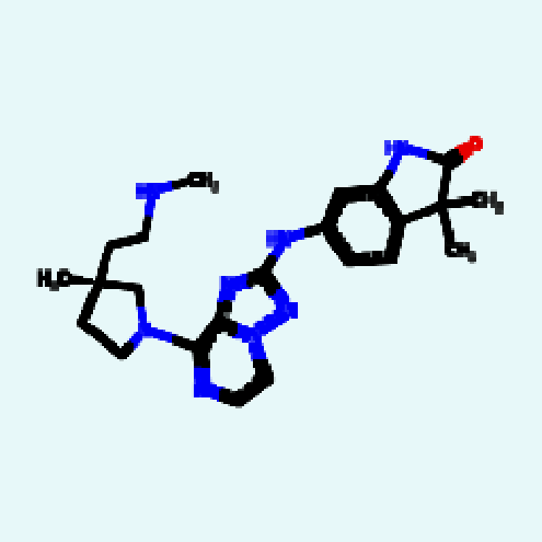 CNCC[C@]1(C)CCN(c2nccn3nc(Nc4ccc5c(c4)NC(=O)C5(C)C)nc23)C1